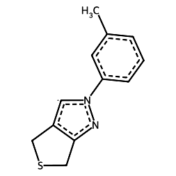 Cc1cccc(-n2[c]c3c(n2)CSC3)c1